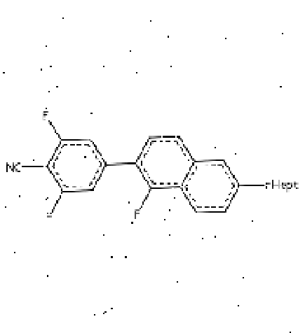 CCCCCCCc1ccc2c(F)c(-c3cc(F)c(C#N)c(F)c3)ccc2c1